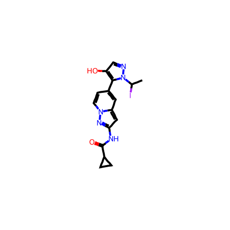 CC(I)n1ncc(O)c1-c1ccn2nc(NC(=O)C3CC3)cc2c1